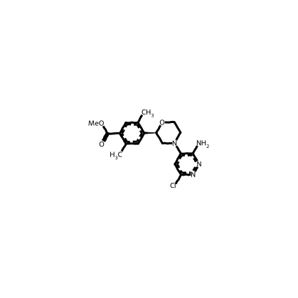 COC(=O)c1cc(C)c([C@@H]2CN(c3cc(Cl)nnc3N)CCO2)cc1C